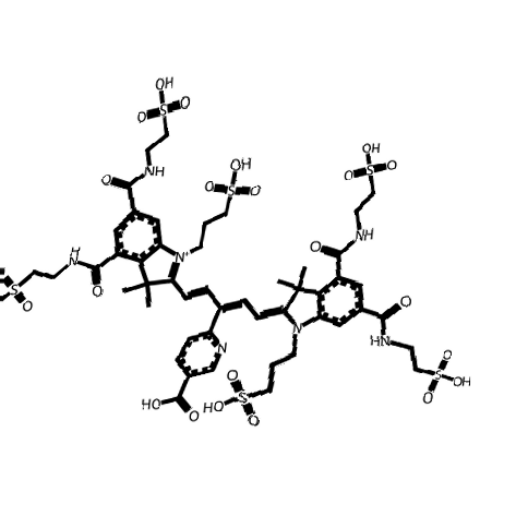 CC1(C)C(/C=C/C(=C/C=C2/N(CCCS(=O)(=O)O)c3cc(C(=O)NCCS(=O)(=O)O)cc(C(=O)NCCS(=O)(=O)O)c3C2(C)C)c2ccc(C(=O)O)cn2)=[N+](CCCS(=O)(=O)O)c2cc(C(=O)NCCS(=O)(=O)O)cc(C(=O)NCCS(=O)(=O)O)c21